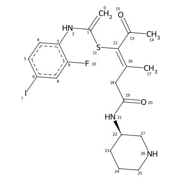 C=C(Nc1ccc(I)cc1F)S/C(C(C)=O)=C(/C)CC(=O)N[C@@H]1CCCNC1